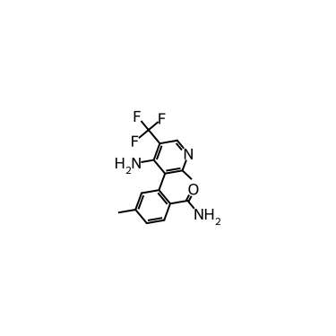 Cc1ccc(C(N)=O)c(-c2c(C)ncc(C(F)(F)F)c2N)c1